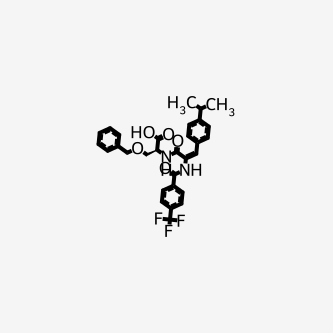 CC(C)c1ccc(/C=C(/NC(=O)c2ccc(C(F)(F)F)cc2)C(=O)N[C@@H](COCc2ccccc2)C(=O)O)cc1